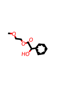 COCCOC(=O)C(O)c1ccccc1